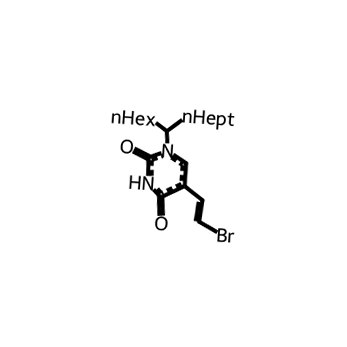 CCCCCCCC(CCCCCC)n1cc(/C=C/Br)c(=O)[nH]c1=O